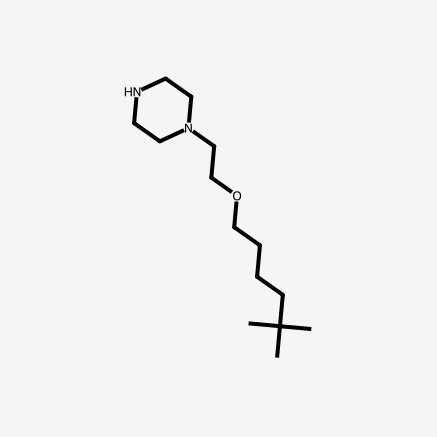 CC(C)(C)CCCCOCCN1CCNCC1